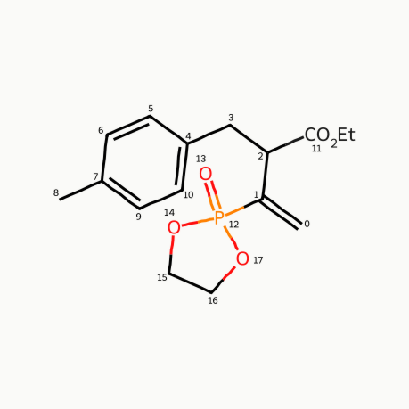 C=C(C(Cc1ccc(C)cc1)C(=O)OCC)P1(=O)OCCO1